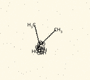 CCCCCC=CCC=CCCCCCCCC(=O)OCC(COP(=O)(O)OC1C(O)C(O)C(O)C(O)C1O)OC(=O)CCCCCCCC=CCC=CCCCCC